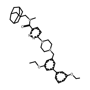 CCOc1cccc(-c2cc(CN3CCN(c4ccc(C(=O)N(C)CC56CC7CC(CC(C7)C5)C6)nn4)CC3)cc(OCC)c2)c1